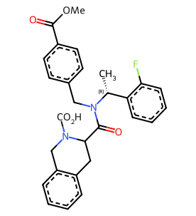 COC(=O)c1ccc(CN(C(=O)C2Cc3ccccc3CN2C(=O)O)[C@H](C)c2ccccc2F)cc1